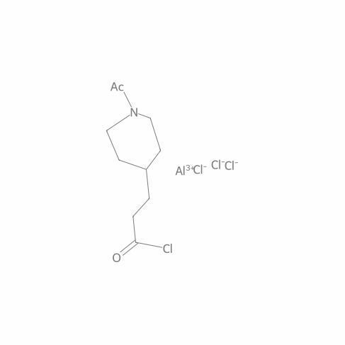 CC(=O)N1CCC(CCC(=O)Cl)CC1.[Al+3].[Cl-].[Cl-].[Cl-]